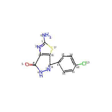 Nc1nc2c(=O)[nH]nc(-c3ccc(Cl)cc3)c2s1